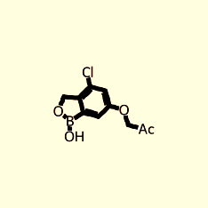 CC(=O)COc1cc(Cl)c2c(c1)B(O)OC2